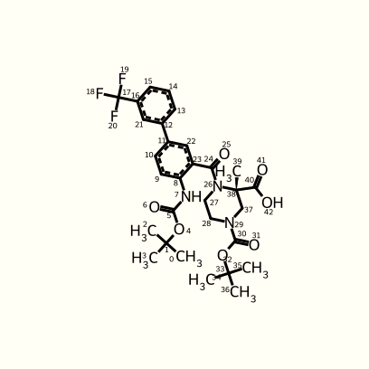 CC(C)(C)OC(=O)Nc1ccc(-c2cccc(C(F)(F)F)c2)cc1C(=O)N1CCN(C(=O)OC(C)(C)C)C[C@@]1(C)C(=O)O